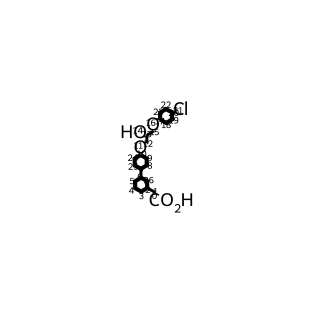 O=C(O)Cc1cccc(-c2ccc(OCC(O)COc3ccc(Cl)cc3)cc2)c1